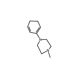 CN1CCN(C2=CCCC=C2)CC1